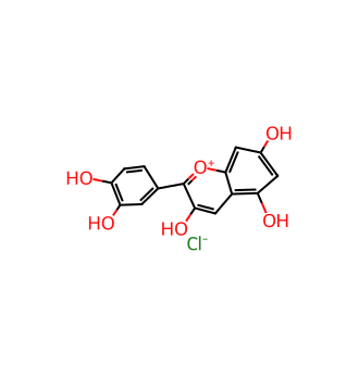 Oc1cc(O)c2cc(O)c(-c3ccc(O)c(O)c3)[o+]c2c1.[Cl-]